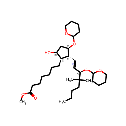 CCCCC(C)(C)[C@@H](/C=C/[C@@H]1[C@@H](CCCCCCC(=O)OC)[C@@H](O)C[C@H]1OC1CCCCO1)OC1CCCCO1